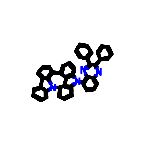 c1ccc(-c2nc3cccc(-n4c5cccc6c7cccc8c9ccccc9n(c9cccc4c9c65)c78)c3nc2-c2ccccc2)cc1